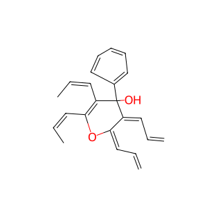 C=C/C=C1\C(=C/C=C)OC(/C=C\C)=C(/C=C\C)C1(O)c1ccccc1